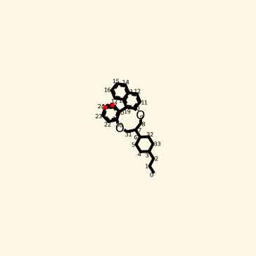 CCCC1CCC(C2COc3ccc4ccccc4c3-c3c(ccc4ccccc34)OC2)CC1